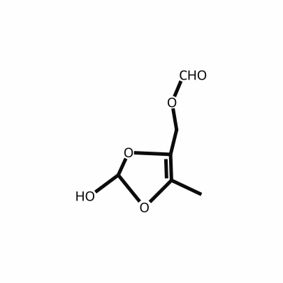 CC1=C(COC=O)OC(O)O1